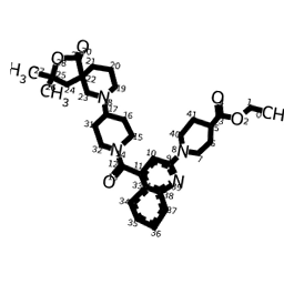 CCOC(=O)C1CCN(c2cc(C(=O)N3CCC(N4CCCC5(C4)CC(C)(C)OC5=O)CC3)c3ccccc3n2)CC1